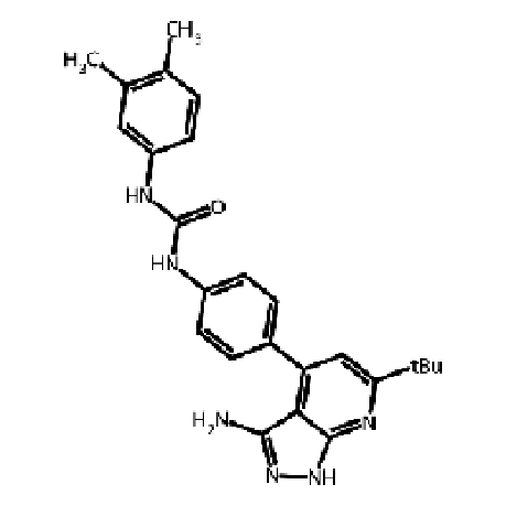 Cc1ccc(NC(=O)Nc2ccc(-c3cc(C(C)(C)C)nc4[nH]nc(N)c34)cc2)cc1C